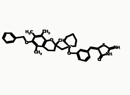 Cc1c(C)c2c(c(C)c1OCc1ccccc1)CCC(C)(C[N+]1(Oc3cccc(C=C4SC(=N)NC4=O)c3)CCCCC1)O2